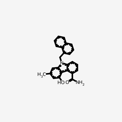 Cc1cc(O)c2c3c(C(N)=O)cccc3n(Cc3cccc4ccccc34)c2c1